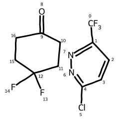 FC(F)(F)c1ccc(Cl)nn1.O=C1CCC(F)(F)CC1